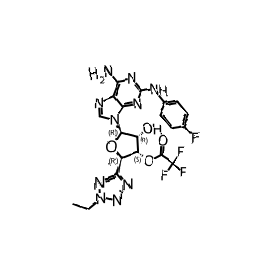 CCn1nnc([C@H]2O[C@@H](n3cnc4c(N)nc(Nc5ccc(F)cc5)nc43)[C@H](O)[C@@H]2OC(=O)C(F)(F)F)n1